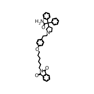 NC(=O)C(c1ccccc1)(c1ccccc1)C1CCN(CCc2ccc(OCCCCCCN3C(=O)c4ccccc4C3=O)cc2)C1